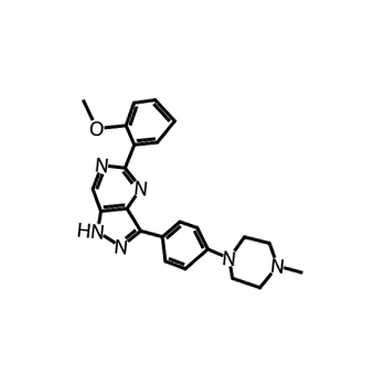 COc1ccccc1-c1ncc2[nH]nc(-c3ccc(N4CCN(C)CC4)cc3)c2n1